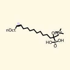 CCCCCCCC/C=C\CCCCCCCCCC(O)(C[N+](C)(C)C)P(=O)(O)O